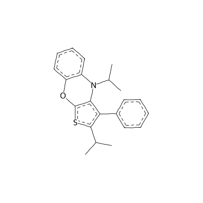 CC(C)c1sc2c(c1-c1ccccc1)N(C(C)C)c1ccccc1O2